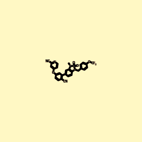 CN1c2cc(-c3cc(Oc4ccnc(C#N)c4)ccc3C#N)ccc2N(Cc2ccc(OC(F)(F)F)cc2)S1(=O)=O